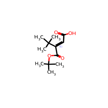 CC(C)(C)OC(=O)/C(=C/C(=O)O)C(C)(C)C